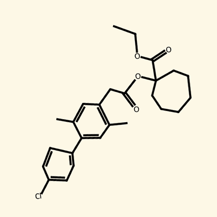 CCOC(=O)C1(OC(=O)Cc2cc(C)c(-c3ccc(Cl)cc3)cc2C)CCCCCC1